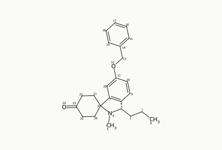 CCCCN(C)C1(c2cccc(OCc3ccccc3)c2)CCC(=O)CC1